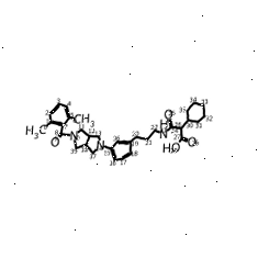 Cc1cccc(C)c1C(=O)N1CC2CN(c3cccc(CCCNC(=O)C(C(=O)O)C4CCCCC4)c3)CC2C1